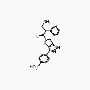 NCC(C(=O)N1Cc2[nH]nc(-c3ccc(C(=O)O)cc3)c2C1)c1cccnc1